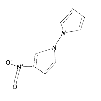 O=[N+]([O-])c1ccn(-n2cccc2)c1